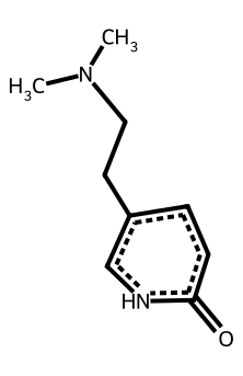 CN(C)CCc1ccc(=O)[nH]c1